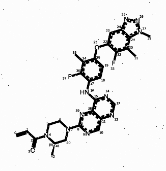 C=CC(=O)N1CCN(c2ncc3ncnc(Nc4ccc(Oc5cc6nnn(C)c6c(C)c5F)c(C)c4F)c3n2)C[C@H]1C